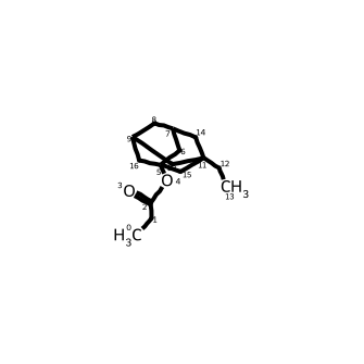 CCC(=O)OC12CC3CC(CC(CC)(C3)C1)C2